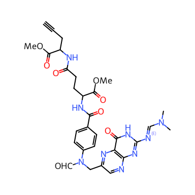 C#CCC(NC(=O)CCC(NC(=O)c1ccc(N(C=O)Cc2cnc3nc(/N=C/N(C)C)[nH]c(=O)c3n2)cc1)C(=O)OC)C(=O)OC